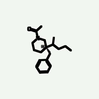 CCCC(C)[C@@]1(Cc2ccccc2)CCCN(C(C)=O)C1